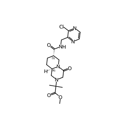 COC(=O)C(C)(C)N1CC(=O)N2C[C@@H](C(=O)NCc3nccnc3Cl)CC[C@@H]2C1